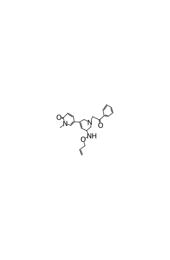 C=CCONC1C=C(c2ccc(=O)n(C)c2)CN(CC(=O)c2ccccc2)C1